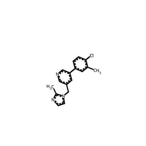 Cc1cc(-c2cncc(Cn3ccnc3C)c2)ccc1Cl